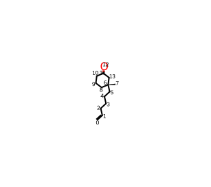 C=CCCCC[C@]1(C)CCCC(=O)C1